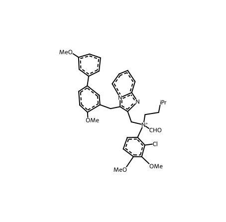 COc1cccc(-c2ccc(OC)c(Cc3c(C[N+](C=O)(CCC(C)C)c4ccc(OC)c(OC)c4Cl)nc4ccccn34)c2)c1